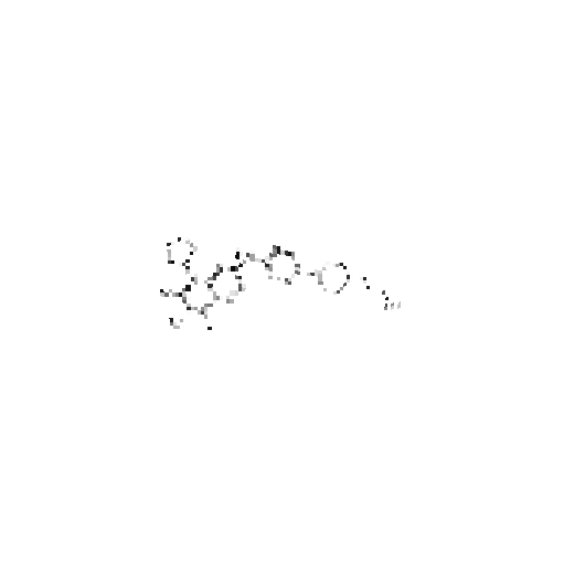 CC(=O)c1c(C)c2cnc(Nc3ccc(N4CCC(CCCO)CC4)cn3)nc2n(C2CCCC2)c1=O